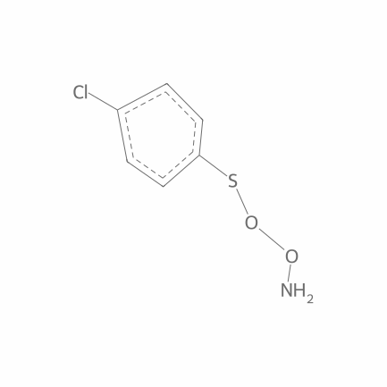 NOOSc1ccc(Cl)cc1